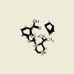 C1=CC2=CC=C1C2.CC(C)C1CNCCN1c1nc2c(C(=O)O)cccc2o1